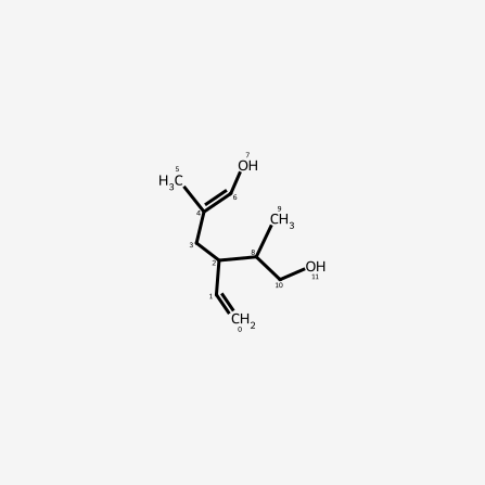 C=CC(CC(C)=CO)C(C)CO